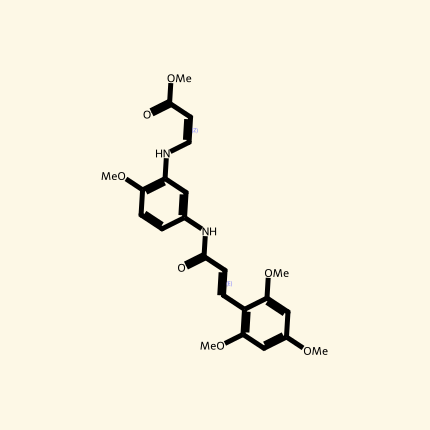 COC(=O)/C=C\Nc1cc(NC(=O)/C=C/c2c(OC)cc(OC)cc2OC)ccc1OC